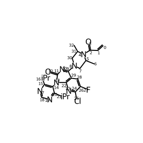 C=CC(=O)N1C(C)CN(c2nc(=O)n(-c3c(C(C)C)ncnc3C(C)C)c3nc(Cl)c(F)cc23)CC1C